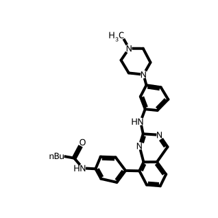 CCCCC(=O)Nc1ccc(-c2cccc3cnc(Nc4cccc(N5CCN(C)CC5)c4)nc23)cc1